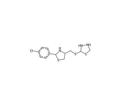 Clc1ccc(C2NC(CSC3NNCS3)CS2)cc1